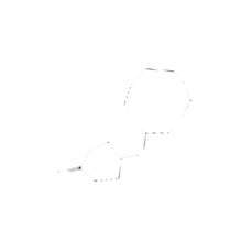 O=C1CCC(OC2CCCCCCCCC2)CC1